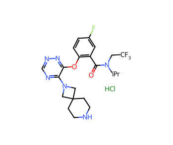 CC(C)N(CC(F)(F)F)C(=O)c1cc(F)ccc1Oc1nncnc1N1CC2(CCNCC2)C1.Cl